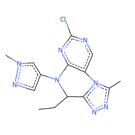 CCC1c2nnc(C)n2-c2cnc(Cl)nc2N1c1cnn(C)c1